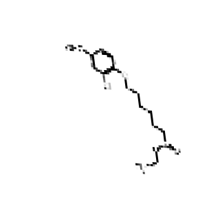 O=Cc1ccc(OCCCCCCS(=O)OCC(Cl)(Cl)Cl)c(Cl)c1